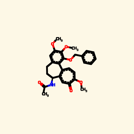 COc1cc2c(c(OCc3ccccc3)c1OC)-c1ccc(OC)c(=O)cc1[C@@H](NC(C)=O)CC2